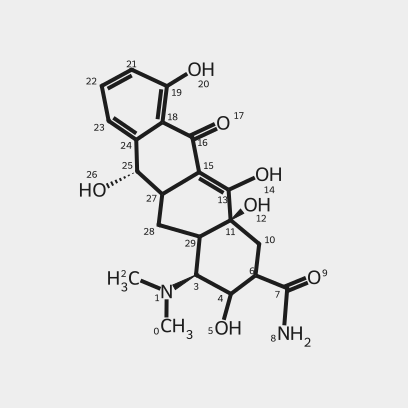 CN(C)[C@@H]1C(O)C(C(N)=O)C[C@@]2(O)C(O)=C3C(=O)c4c(O)cccc4[C@@H](O)C3CC12